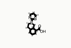 O=C(O)c1cccc2c1CN(c1ncccn1)CC2